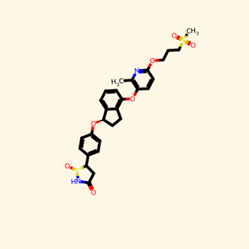 Cc1nc(OCCCS(C)(=O)=O)ccc1Oc1cccc2c1CC[C@H]2Oc1ccc(C2CC(=O)N[S+]2[O-])cc1